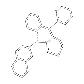 c1ccc(-c2c3ccccc3c(-c3ccc4ccccc4c3)c3ccccc23)nc1